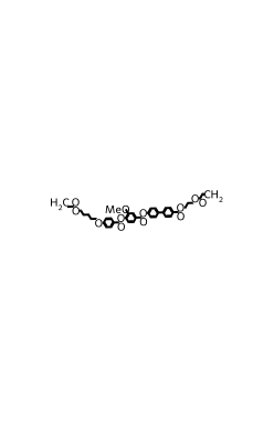 C=CC(=O)OCCCCCOc1ccc(C(=O)Oc2ccc(C(=O)Oc3ccc(-c4ccc(C(=O)OCCCOC(=O)C=C)cc4)cc3)cc2OC)cc1